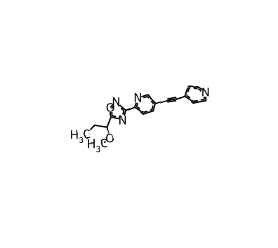 CCC(OC)c1nc(-c2ccc(C#Cc3ccncc3)cn2)no1